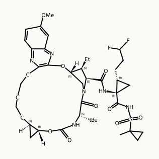 CC[C@@H]1[C@@H]2CN(C(=O)[C@H](C(C)(C)C)NC(=O)O[C@@H]3C[C@H]3CCCCCc3nc4ccc(OC)cc4nc3O2)[C@@H]1C(=O)N[C@]1(C(=O)NS(=O)(=O)C2(C)CC2)C[C@H]1CCC(F)F